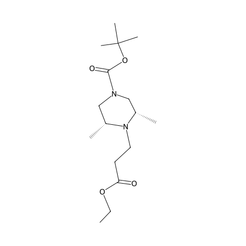 CCOC(=O)CCN1[C@H](C)CN(C(=O)OC(C)(C)C)C[C@@H]1C